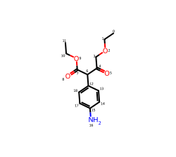 CCOCC(=O)C(C(=O)OCC)c1ccc(N)cc1